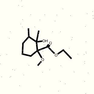 CCOC(=O)C1(OC)CCCC(C)C1(C)O